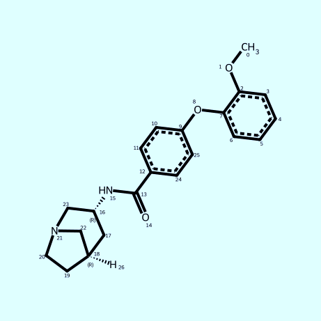 COc1ccccc1Oc1ccc(C(=O)N[C@@H]2C[C@H]3CCN(C3)C2)cc1